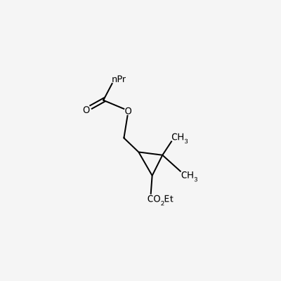 CCCC(=O)OCC1C(C(=O)OCC)C1(C)C